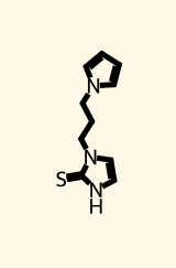 S=c1[nH]ccn1CCCn1cccc1